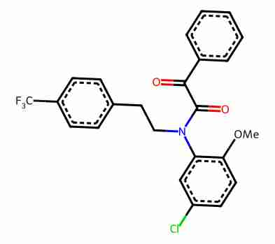 COc1ccc(Cl)cc1N(CCc1ccc(C(F)(F)F)cc1)C(=O)C(=O)c1ccccc1